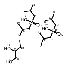 CC(C)CP(=O)(O)CC(C)C.CC(C)CP(=O)(O)CC(C)C.CCC(O)CO